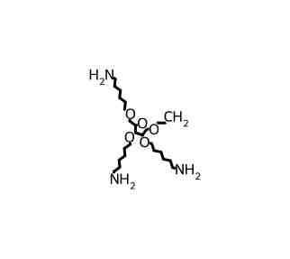 C=CCOC1OC(COCCCCCCN)C(OCCCCCCN)C1OCCCCCCN